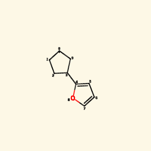 [CH]1CCC(c2ccco2)C1